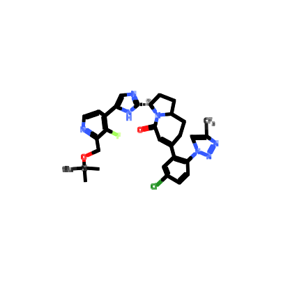 CC(C)(C)[Si](C)(C)OCc1nccc(-c2cnc([C@@H]3CCC4CCC(c5cc(Cl)ccc5-n5cc(C(F)(F)F)nn5)=CC(=O)N43)[nH]2)c1F